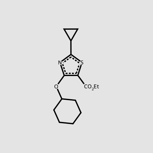 CCOC(=O)c1sc(C2CC2)nc1OC1CCCCC1